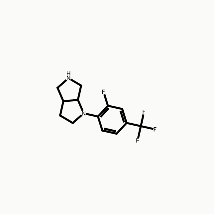 Fc1cc(C(F)(F)F)ccc1N1CCC2CNCC21